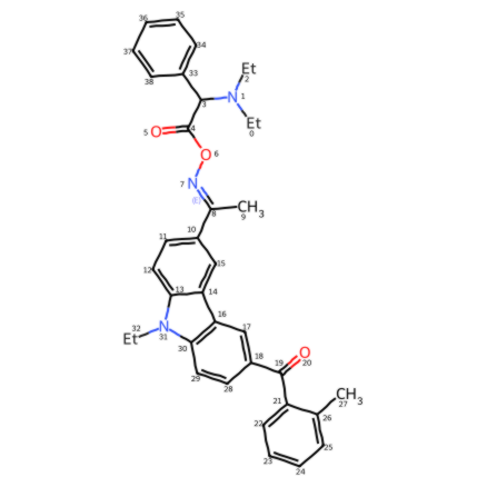 CCN(CC)C(C(=O)O/N=C(\C)c1ccc2c(c1)c1cc(C(=O)c3ccccc3C)ccc1n2CC)c1ccccc1